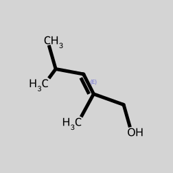 C/C(=C\C(C)C)CO